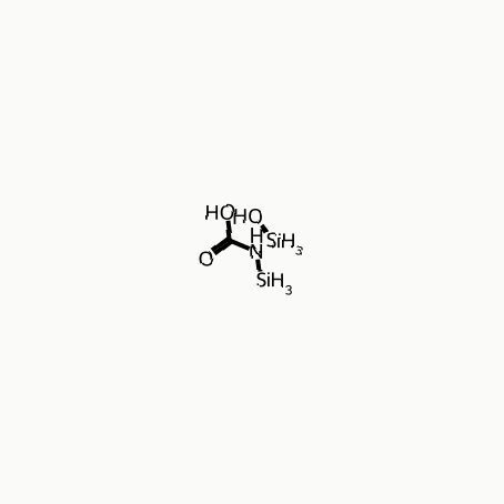 O=C(O)N[SiH3].O[SiH3]